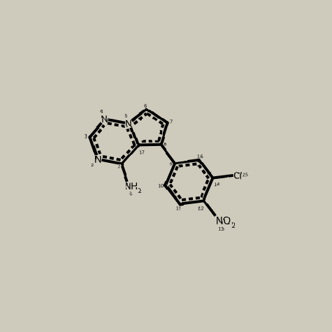 Nc1ncnn2ccc(-c3ccc([N+](=O)[O-])c(Cl)c3)c12